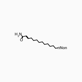 CCCCCCCCCCCCCCCCCCCC=CC(N)=O